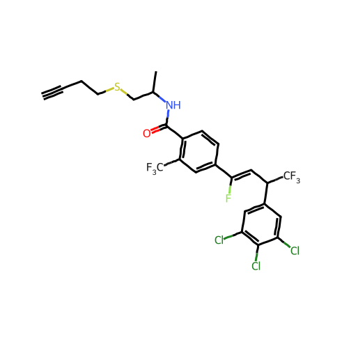 C#CCCSCC(C)NC(=O)c1ccc(/C(F)=C/C(c2cc(Cl)c(Cl)c(Cl)c2)C(F)(F)F)cc1C(F)(F)F